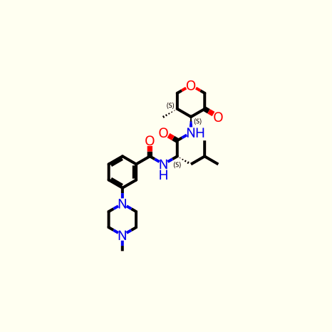 CC(C)C[C@H](NC(=O)c1cccc(N2CCN(C)CC2)c1)C(=O)N[C@@H]1C(=O)COC[C@H]1C